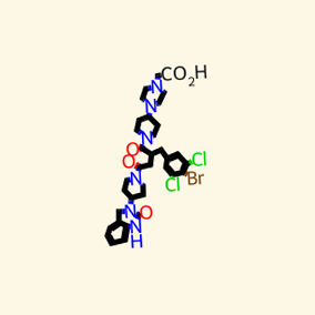 O=C(O)CN1CCN(C2CCN(C(=O)C(CC(=O)N3CCC(N4Cc5ccccc5NC4=O)CC3)Cc3cc(Cl)c(Br)c(Cl)c3)CC2)CC1